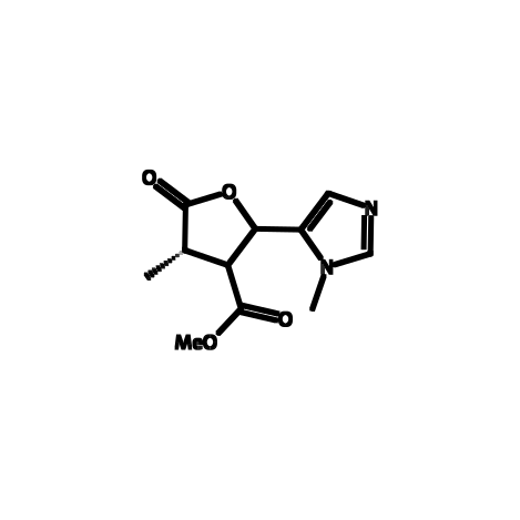 COC(=O)C1C(c2cncn2C)OC(=O)[C@H]1C